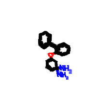 NC1(N)C=CC=C(Oc2ccccc2-c2ccccc2)C1